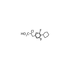 O=C(O)C(Cl)Cc1cc(F)c(C2CCCCC2)c(F)c1